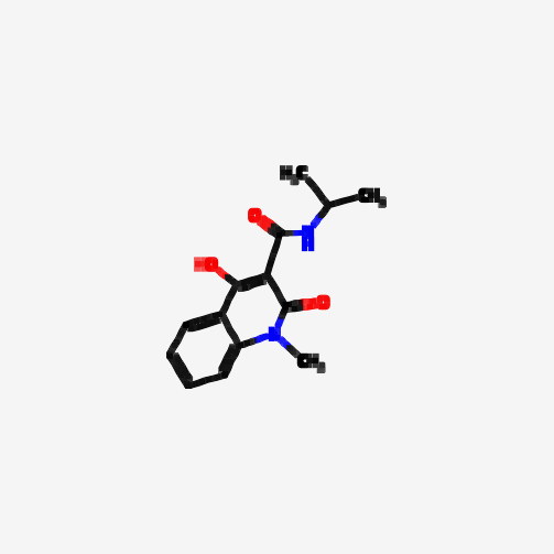 CC(C)NC(=O)c1c(O)c2ccccc2n(C)c1=O